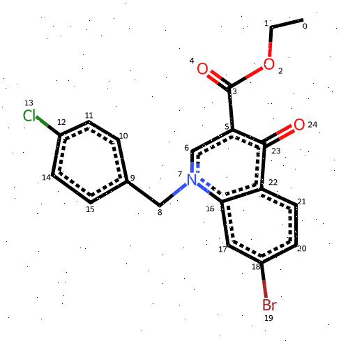 CCOC(=O)c1cn(Cc2ccc(Cl)cc2)c2cc(Br)ccc2c1=O